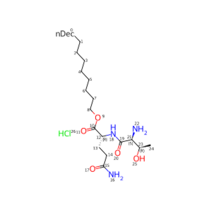 CCCCCCCCCCCCCCCCCCOC(=O)[C@@H](CCC(N)=O)NC(=O)[C@@H](N)[C@@H](C)O.Cl